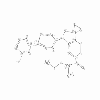 CN(CCO)C(=O)c1ccc2c(c1)N(c1ncc(-c3cccc(F)n3)cn1)CC21CC1